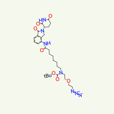 CC(C)(C)OC(=O)N(CCCCCCCC(=O)Nc1cccc2c1CN(C1CCC(=O)NC1=O)C2=O)CCOCCN=[N+]=[N-]